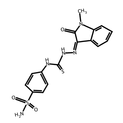 CN1C(=O)/C(=N\NC(=S)Nc2ccc(S(N)(=O)=O)cc2)c2ccccc21